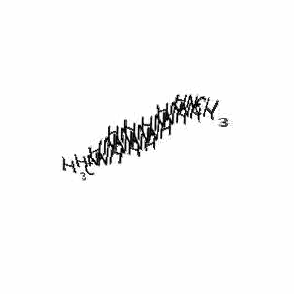 CNNNNNNNNNNNNNC